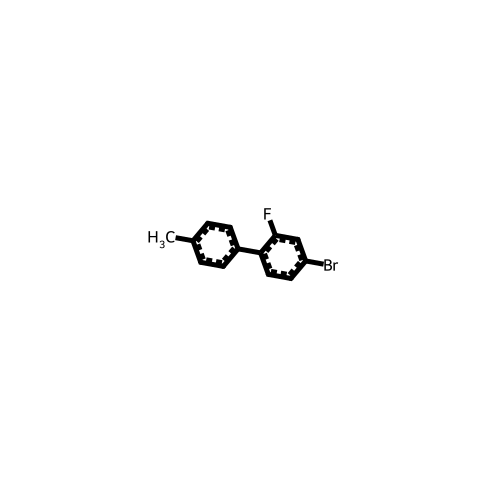 Cc1ccc(-c2ccc(Br)cc2F)cc1